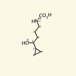 O=C(O)NCCCC(O)C1CC1